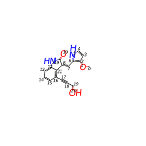 COc1cc[nH]c1C=C1C(=O)Nc2cccc(C#CCO)c21